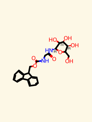 O=C(CNC(=O)OCC1c2ccccc2-c2ccccc21)N[C@@H]1OC(CO)[C@H](O)[C@H](O)C1O